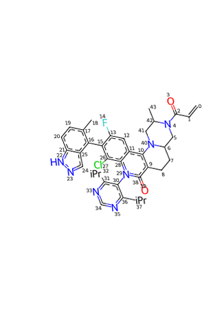 C=CC(=O)N1CC2CCc3c(c4cc(F)c(-c5c(C)ccc6[nH]ncc56)c(Cl)c4n(-c4c(C(C)C)ncnc4C(C)C)c3=O)N2CC1C